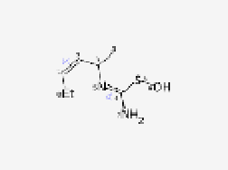 CC/C=C\C(C)/N=C(/N)SO